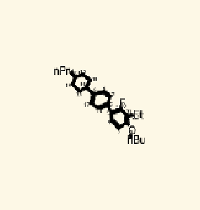 CCCCOc1ccc(-c2ccc(C3CCC(CCC)CC3)cc2)c(F)c1CC